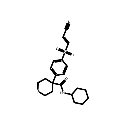 N#C/C=C/S(=O)(=O)c1ccc(C2(C(=O)NC3CCCCC3)CCOCC2)cc1